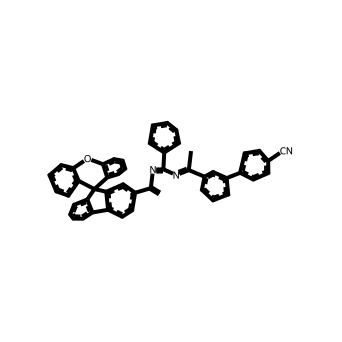 C=C(/N=C(\N=C(/C)c1cccc(-c2ccc(C#N)cc2)c1)c1ccccc1)c1ccc2c(c1)C1(c3ccccc3Oc3ccccc31)c1ccccc1-2